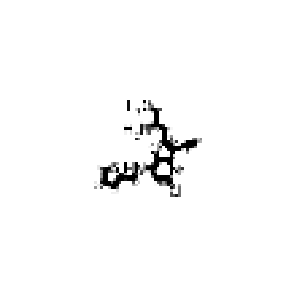 C#Cc1c(C[C@@H](N)CC(F)(F)F)oc2c(NCc3cccs3)cc(Cl)nc12